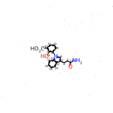 NC(=O)CCc1cn(-c2cccc(C(=O)O)c2O)c2ccccc12